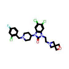 O=c1n(CCN2CC3(COC3)C2)c2cc(Cl)c(Cl)cc2n1C1CCN(Cc2ccc(F)cc2Cl)CC1